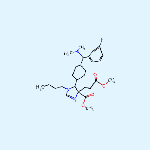 CCCCN1C=NC(CCC(=O)OC)(C(=O)OC)C1C1CCC(C(c2cccc(F)c2)N(C)C)CC1